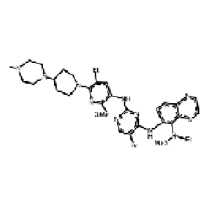 CCc1cc(Nc2ncc(Br)c(Nc3ccc4nccnc4c3N(CC)SC)n2)c(OC)nc1N1CCC(N2CCN(C)CC2)CC1